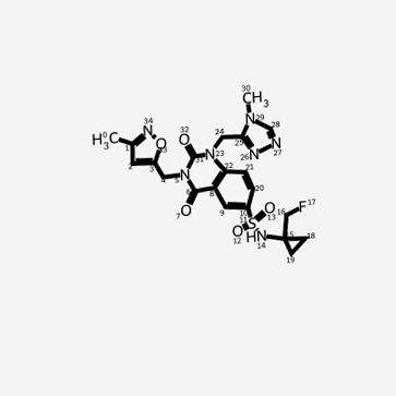 Cc1cc(Cn2c(=O)c3cc(S(=O)(=O)NC4(CF)CC4)ccc3n(Cc3nncn3C)c2=O)on1